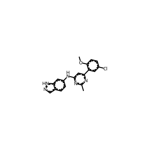 COc1ccc(Cl)cc1-c1cc(Nc2ccc3cn[nH]c3c2)nc(C)n1